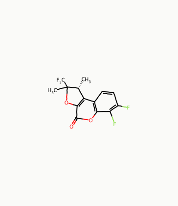 C[C@@H]1c2c(c(=O)oc3c(F)c(F)ccc23)OC1(C)C(F)(F)F